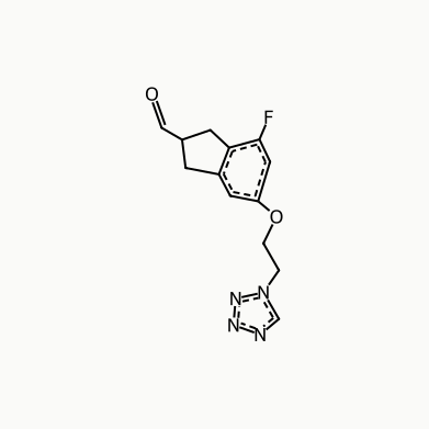 O=CC1Cc2cc(OCCn3cnnn3)cc(F)c2C1